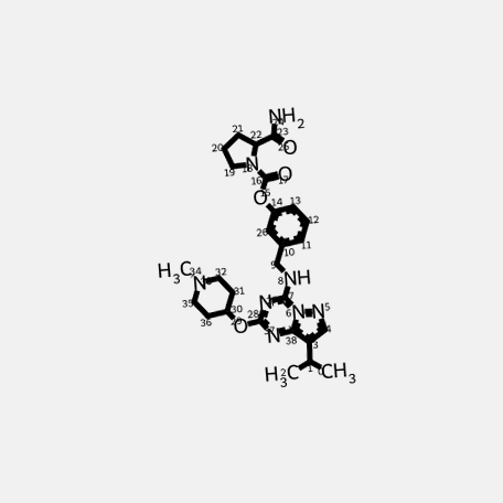 CC(C)c1cnn2c(NCc3cccc(OC(=O)N4CCCC4C(N)=O)c3)nc(OC3CCN(C)CC3)nc12